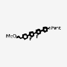 CCCCCc1ccc(-c2ccc(-c3ccc(C4CCC(CCCOC)CC4)c(F)c3)c(F)c2)cc1